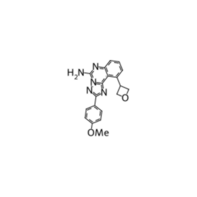 COc1ccc(-c2nc3c4c(C5COC5)cccc4nc(N)n3n2)cc1